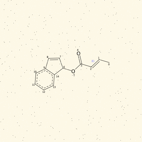 C/C=C/C(=O)OC1C=Cc2ccccc21